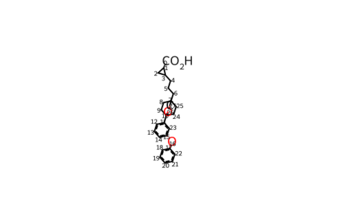 O=C(O)C1CC1CCCC12CCC(c3cccc(Oc4ccccc4)c3)(CC1)OC2